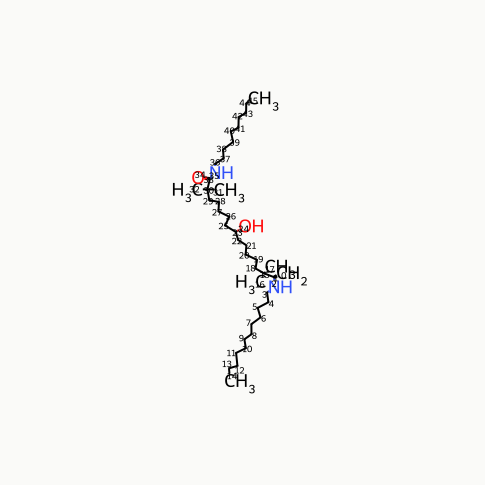 C=C(NCCCCCCCCCCCC)C(C)(C)CCCCCC(O)CCCCCC(C)(C)C(=O)NCCCCCCCCCC